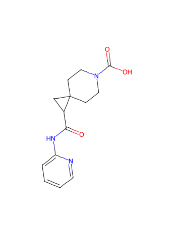 O=C(Nc1ccccn1)C1CC12CCN(C(=O)O)CC2